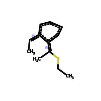 C/C=c1/cccc/c1=C(/C)SCC